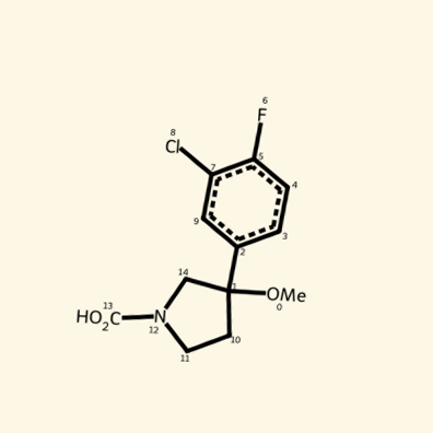 COC1(c2ccc(F)c(Cl)c2)CCN(C(=O)O)C1